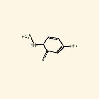 CCCCCCC1=CC(=S)C(NS(=O)(=O)O)C=C1